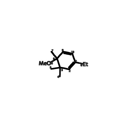 CCC1=CC(C)(C)C(C)(OC)C=C1